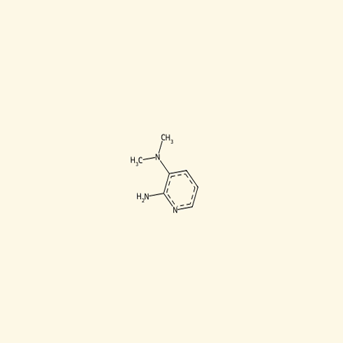 CN(C)c1cccnc1N